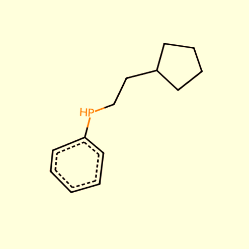 c1ccc(PCCC2CCCC2)cc1